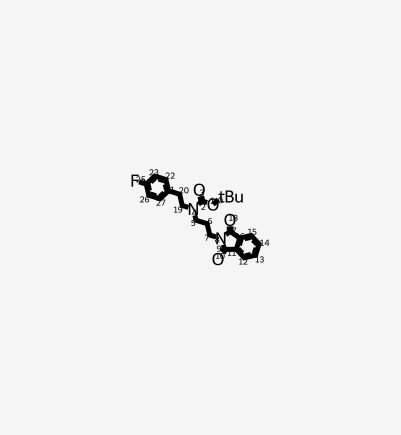 CC(C)(C)OC(=O)N(CCCN1C(=O)c2ccccc2C1=O)CCc1ccc(F)cc1